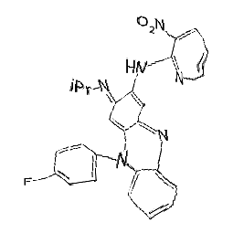 CC(C)/N=c1\cc2n(-c3ccc(F)cc3)c3ccccc3nc-2cc1Nc1ncccc1[N+](=O)[O-]